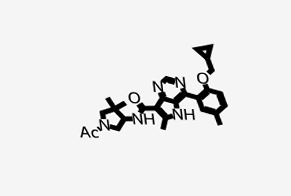 CC(=O)N1CC(NC(=O)c2c(C)[nH]c3c(-c4cc(C)ccc4OCC4CC4)ncnc23)C(C)(C)C1